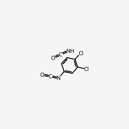 N=C=O.O=C=Nc1ccc(Cl)c(Cl)c1